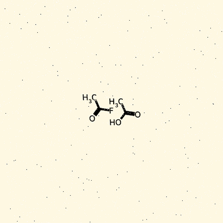 CC(=O)F.CC(=O)O